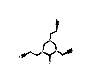 N#CCCN1CN(CC#N)C(F)N(CCC#N)C1